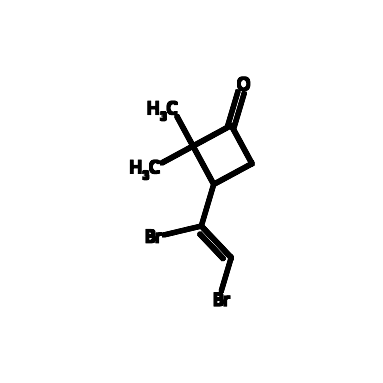 CC1(C)C(=O)CC1/C(Br)=C/Br